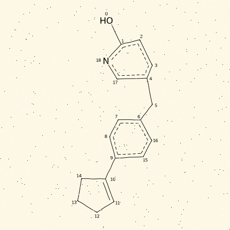 Oc1ccc(Cc2ccc(C3=CCCC3)cc2)cn1